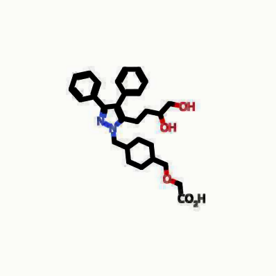 O=C(O)COCC1CCC(Cn2nc(-c3ccccc3)c(-c3ccccc3)c2CCC(O)CO)CC1